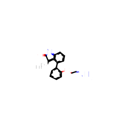 CCCC1=c2c(-c3ccccc3OCCN)cccc2=NC1=O